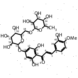 COc1ccc(C=CC(=O)c2c(O)cc(O[C@@H]3OC(CO[C@@H]4OC(C)[C@H](O)[C@H](O)C4O)[C@@H](O)[C@@H](O)C3O)cc2O)cc1O